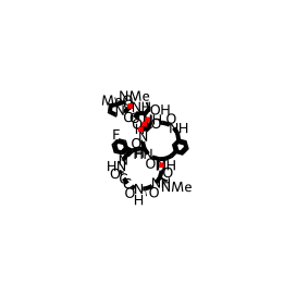 CNC[C@H]1NC(=O)[C@H](C)NC(=O)CCC(=O)Nn2cc(c3cc(F)ccc32)C[C@@H]2NC(=O)[C@H](CCc3cccc(c3)CNC(=O)CO[C@H]3CCN(C2=O)[C@@H]3C(=O)N[C@H](C(=O)NC(OC)C(=O)N2CCC[C@@]2(C)C(=O)NC)[C@@H](C)O)NC1=O